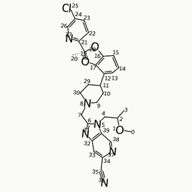 COC(C)Cn1c(CN2CCC(c3cccc4c3O[C@@](C)(c3ccc(Cl)cn3)O4)CC2)nc2cc(C#N)ncc21